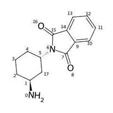 N[C@H]1CCC[C@H](N2C(=O)c3ccccc3C2=O)C1